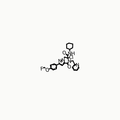 O=C1c2cc(-c3ccc(OCF)cc3)nn2CC(Cl)(C(=O)NC2CCCCC2)N1Cc1ccccn1